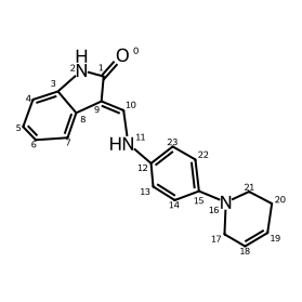 O=C1Nc2ccccc2/C1=C\Nc1ccc(N2CC=CCC2)cc1